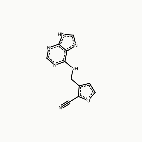 N#Cc1occc1CNc1ncnc2[nH]cnc12